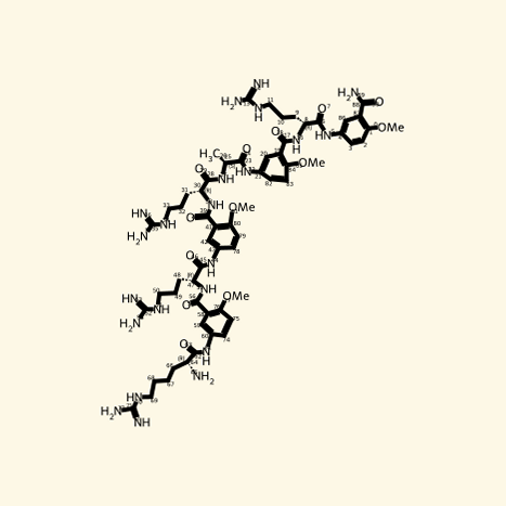 COc1ccc(NC(=O)[C@@H](CCCNC(=N)N)NC(=O)c2cc(NC(=O)[C@H](C)NC(=O)[C@@H](CCCNC(=N)N)NC(=O)c3cc(NC(=O)[C@@H](CCCNC(=N)N)NC(=O)c4cc(NC(=O)[C@H](N)CCCCNC(=N)N)ccc4OC)ccc3OC)ccc2OC)cc1C(N)=O